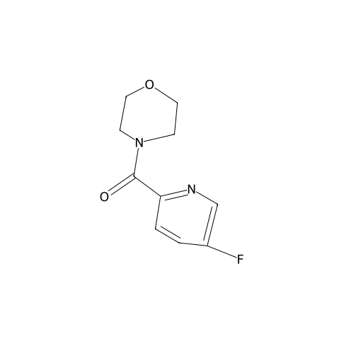 O=C(c1ccc(F)cn1)N1CCOCC1